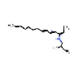 C\C=C(/C=C/C=C/CCCCCCC)NCC(C)C